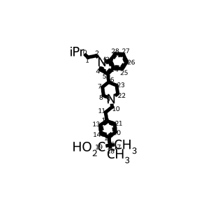 CC(C)CCn1cc(C2CCN(CCc3ccc(C(C)(C)C(=O)O)cc3)CC2)c2ccccc21